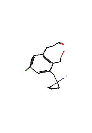 NC1(c2cc(Br)cc3c2COCC3)CC1